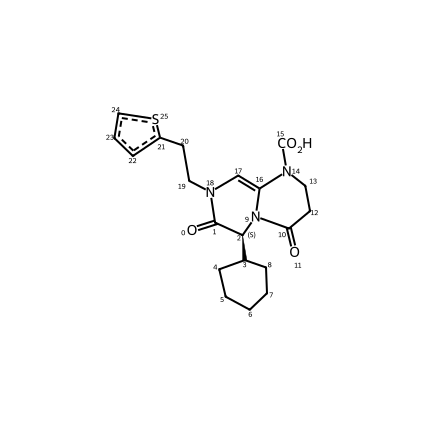 O=C1[C@H](C2CCCCC2)N2C(=O)CCN(C(=O)O)C2=CN1CCc1cccs1